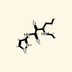 CCCC(NCC)C(=O)C(=O)Nc1ccon1